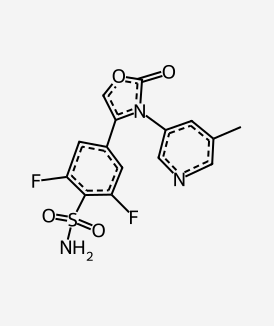 Cc1cncc(-n2c(-c3cc(F)c(S(N)(=O)=O)c(F)c3)coc2=O)c1